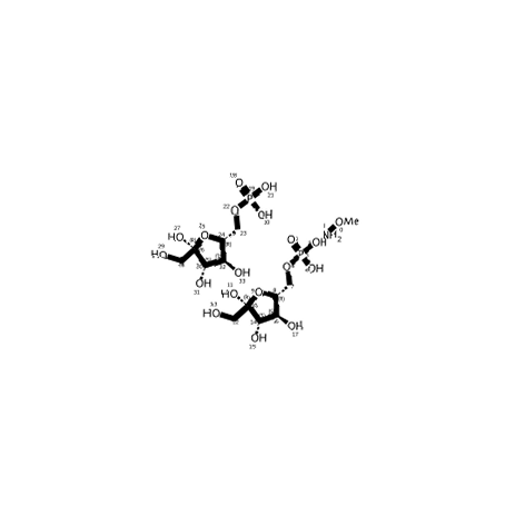 CON.O=P(O)(O)OC[C@H]1O[C@](O)(CO)[C@@H](O)[C@@H]1O.O=P(O)(O)OC[C@H]1O[C@](O)(CO)[C@@H](O)[C@@H]1O